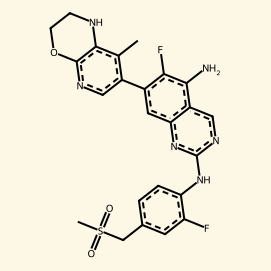 Cc1c(-c2cc3nc(Nc4ccc(CS(C)(=O)=O)cc4F)ncc3c(N)c2F)cnc2c1NCCO2